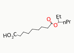 CCCC(CC)OC(=O)CCCCCCCC(=O)O